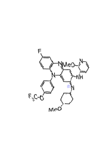 COc1ncccc1Nc1cc2nc3cc(F)ccc3n(-c3ccc(OC(F)(F)F)cc3)c-2c/c1=N\C1CCC(OC)CC1